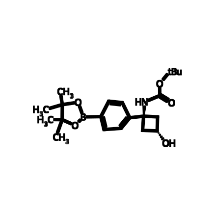 CC(C)(C)OC(=O)N[C@]1(c2ccc(B3OC(C)(C)C(C)(C)O3)cc2)C[C@@H](O)C1